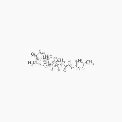 Cc1cnc(CNC(=O)C[C@H]2CC[C@H]3[C@@H]4CC[C@H]5N(C)C(=O)C=C[C@]5(C)[C@H]4CC[C@]23C)cn1